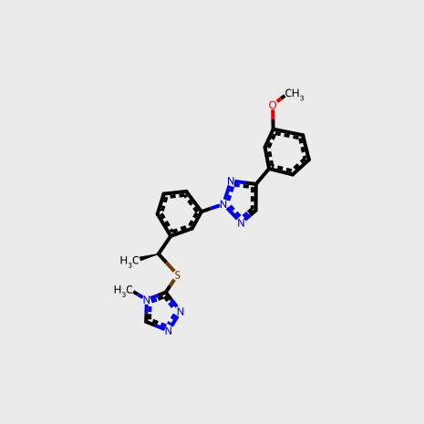 COc1cccc(-c2cnn(-c3cccc([C@H](C)Sc4nncn4C)c3)n2)c1